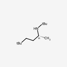 C[C@H](CCC(C)(C)C)NC(C)(C)C